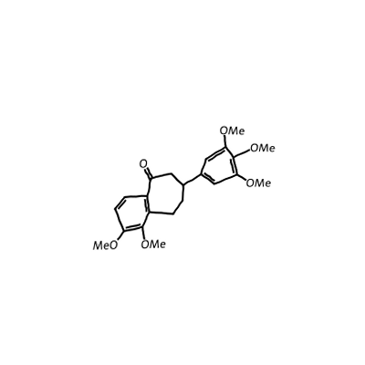 COc1cc(C2CCc3c(ccc(OC)c3OC)C(=O)C2)cc(OC)c1OC